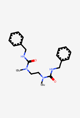 CC(C)(C)N(CCN(C(=O)NCc1ccccc1)C(C)(C)C)C(=O)NCc1ccccc1